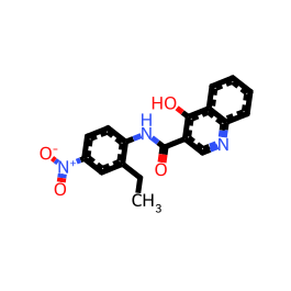 CCc1cc([N+](=O)[O-])ccc1NC(=O)c1cnc2ccccc2c1O